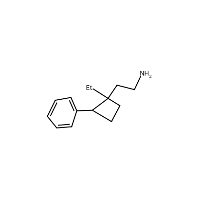 CCC1(CCN)CCC1c1ccccc1